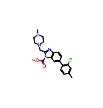 Cc1ccc(-c2ccc3nc(CN4CCN(C)CC4)n(C(=O)O)c3c2)c(Cl)c1